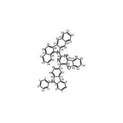 c1ccc(-n2c3ccccc3c3cc(-c4nc(-n5c6cc7ccccc7cc6c6ccc7ccccc7c65)nc5c4oc4ccccc45)ccc32)cc1